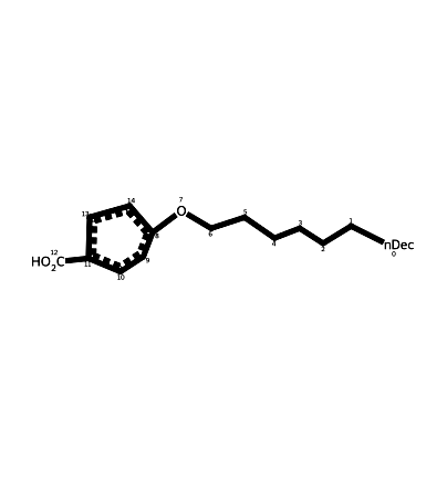 CCCCCCCCCCCCCCCCOc1ccc(C(=O)O)cc1